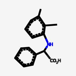 Cc1cccc(NC(C(=O)O)c2ccccc2)c1C